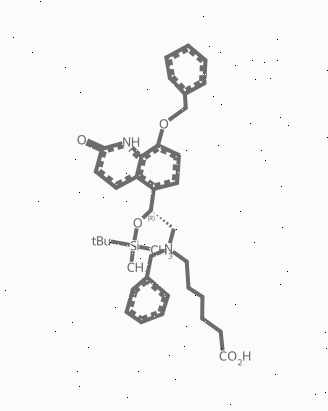 CC(C)(C)[Si](C)(C)O[C@@H](CN(CCCCCC(=O)O)Cc1ccccc1)c1ccc(OCc2ccccc2)c2[nH]c(=O)ccc12